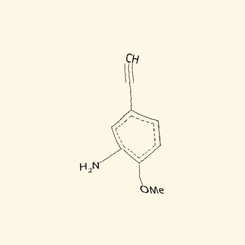 C#Cc1ccc(OC)c(N)c1